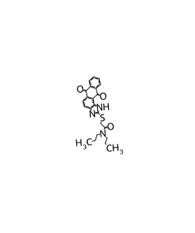 CCCN(CCC)C(=O)CSc1nc2ccc3c(c2[nH]1)C(=O)c1ccccc1C3=O